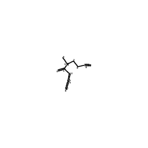 C=C(N=[N+]=[N-])N(C)CCNC